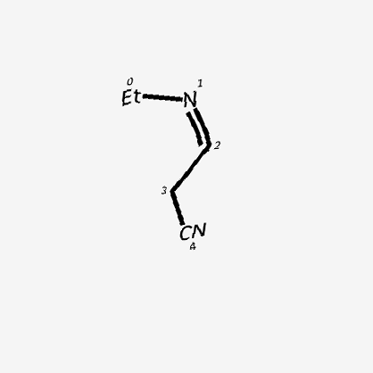 CC/N=[C]\CC#N